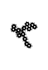 c1ccc(-c2ccccc2-c2cccc3ccccc23)c(-c2ccc(N(c3ccc(-c4ccc(-c5ccc6ccccc6c5)cc4)cc3)c3ccc(-c4cccc5ccccc45)c4sc5ccccc5c34)cc2)c1